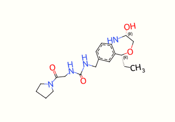 CC[C@H]1OC[C@@H](O)Nc2ccc(CNC(=O)NCC(=O)N3CCCC3)cc21